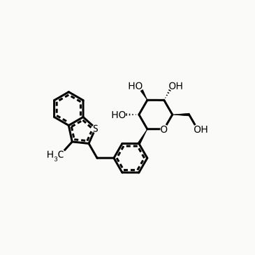 Cc1c(Cc2cccc([C@@H]3O[C@H](CO)[C@@H](O)[C@H](O)[C@H]3O)c2)sc2ccccc12